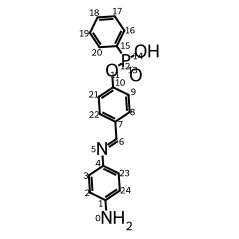 Nc1ccc(N=Cc2ccc(OP(=O)(O)c3ccccc3)cc2)cc1